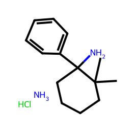 CC1(C)CCCCC1(N)c1ccccc1.Cl.N